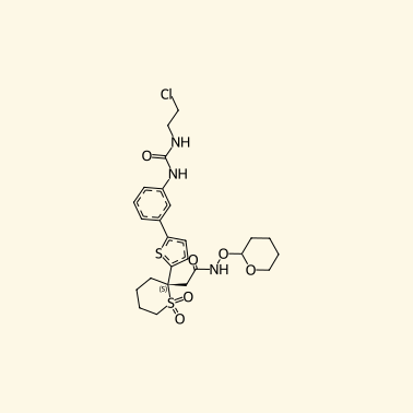 O=C(C[C@]1(c2ccc(-c3cccc(NC(=O)NCCCl)c3)s2)CCCCS1(=O)=O)NOC1CCCCO1